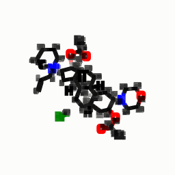 C=CC[N+]1([C@H]2C[C@H]3[C@@H]4CC[C@H]5C[C@H](OC(=O)CC)[C@@H](N6CCOCC6)C[C@]5(C)[C@H]4CC[C@]3(C)[C@H]2OC(=O)CC)CCCCC1.[Br-]